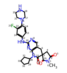 CN1C(=O)CC2(Cc3cnc(Nc4ccc(N5CCNCC5)c(F)c4)nc3N(C3CCCC3)C2=O)C1=O